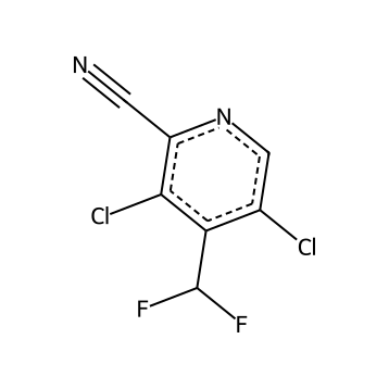 N#Cc1ncc(Cl)c(C(F)F)c1Cl